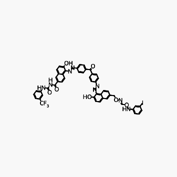 O=C(NC(=O)c1ccc2c(N=Nc3ccc(C(=O)c4ccc(N=Nc5c(O)ccc6cc(CO/N=C/ONc7cccc(I)c7)ccc56)cc4)cc3)c(O)ccc2c1)Nc1cccc(C(F)(F)F)c1